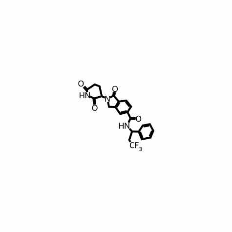 O=C1CCC(N2Cc3cc(C(=O)NC(CC(F)(F)F)c4ccccc4)ccc3C2=O)C(=O)N1